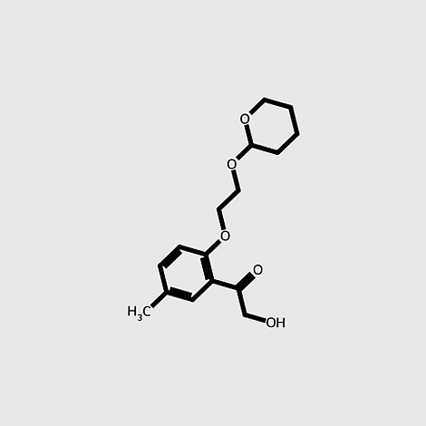 Cc1ccc(OCCOC2CCCCO2)c(C(=O)CO)c1